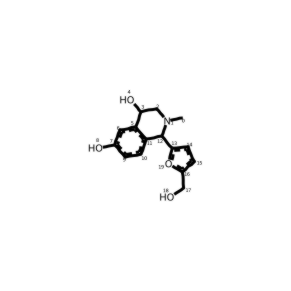 CN1CC(O)c2cc(O)ccc2C1c1ccc(CO)o1